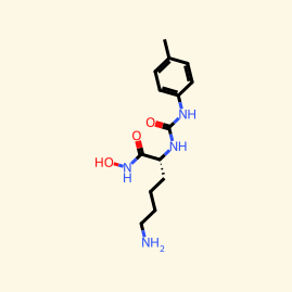 Cc1ccc(NC(=O)N[C@H](CCCCN)C(=O)NO)cc1